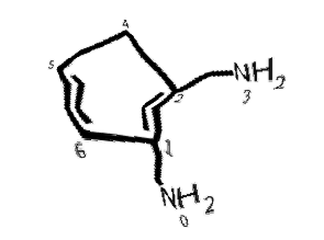 NC1=C(N)CC=C1